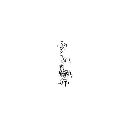 CN(CCCn1nnc2cc(CNC[C@H](O[Si](C)(C)C(C)(C)C)c3ccc(O)c4[nH]c(=O)ccc34)ccc21)C(=O)CCN1CCC2(CC1)CC(OC(=O)C(O)(c1cccs1)c1cccs1)C2